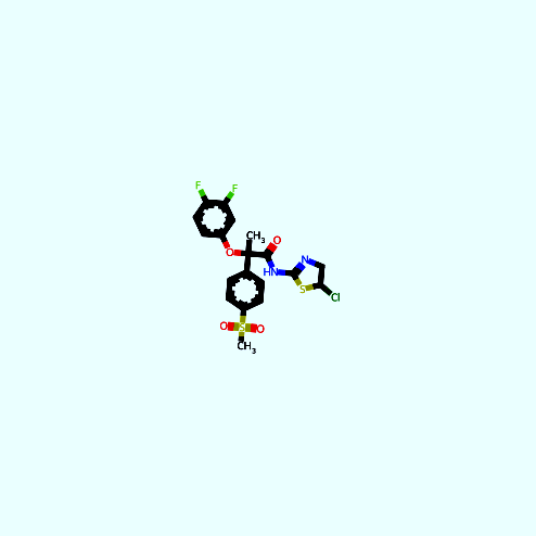 CC(Oc1ccc(F)c(F)c1)(C(=O)NC1=NCC(Cl)S1)c1ccc(S(C)(=O)=O)cc1